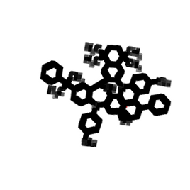 CC(C)c1cc2c3c(c1)N(c1ccc(C(C)(C)C)cc1-c1ccccc1-c1ccccc1)c1cc4c(cc1C(B3)c1cc(C(C)(C)c3ccccc3)ccc1N2c1ccc(C(C)(C)C)cc1)C(C)(C)CCC4(C)C